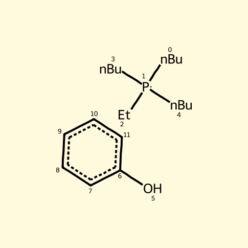 CCCC[P](CC)(CCCC)CCCC.Oc1ccccc1